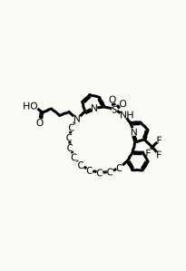 O=C(O)CCCN1CCCCCCCCCc2ccccc2-c2nc(ccc2C(F)(F)F)NS(=O)(=O)c2cccc1n2